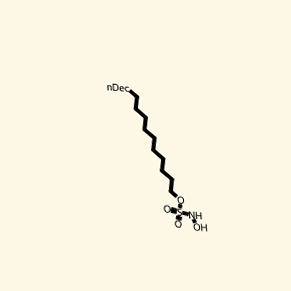 CCCCCCCCCCCCCCCCCCCCOS(=O)(=O)NO